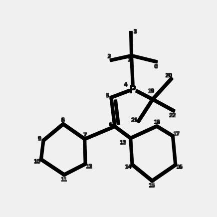 CC(C)(C)P(C=C(C1CCCCC1)C1CCCCC1)C(C)(C)C